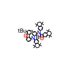 Cc1cc2c3c(c1)N(c1cccc4oc5c(C(C)(C)C)cccc5c14)c1cc4c(cc1B3c1oc3cc5c(cc3c1N2c1ccc2c(c1)C(C)(C)CCC2(C)C)C(C)(C)CCC5(C)C)C(C)(C)CCC4(C)C